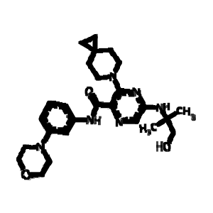 CC(C)(CO)Nc1cnc(C(=O)Nc2cccc(N3CCOCC3)c2)c(N2CCC3(CC2)CC3)n1